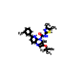 Cc1nc(NC(=O)N2c3nc(-c4cccc(C(F)(F)F)c4)ccc3N3CC(O[Si](C)(C)C(C)(C)C)[C@H]2C3)sc1C